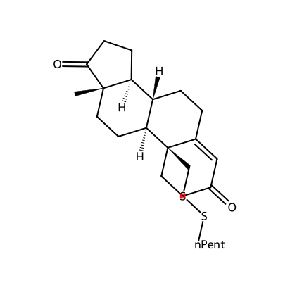 CCCCCSSC[C@]12CCC(=O)C=C1CC[C@@H]1[C@@H]2CC[C@]2(C)C(=O)CC[C@@H]12